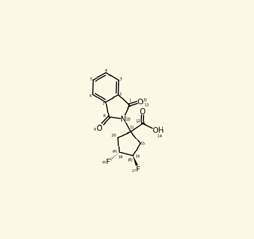 O=C1c2ccccc2C(=O)N1C1(C(=O)O)C[C@@H](F)[C@H](F)C1